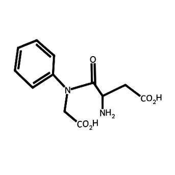 NC(CC(=O)O)C(=O)N(CC(=O)O)c1ccccc1